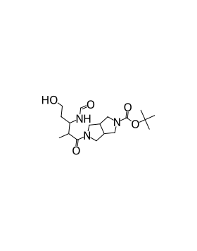 CC(C(=O)N1CC2CN(C(=O)OC(C)(C)C)CC2C1)C(CCO)NC=O